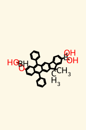 CC1(C)c2cc(B(O)O)ccc2-c2cc3c(-c4ccccc4)c4cc(OBO)ccc4c(-c4ccccc4)c3cc21